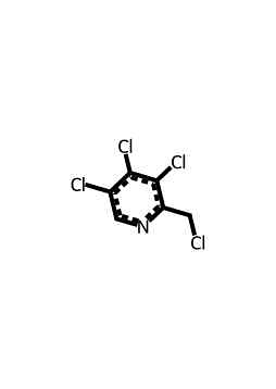 ClCc1ncc(Cl)c(Cl)c1Cl